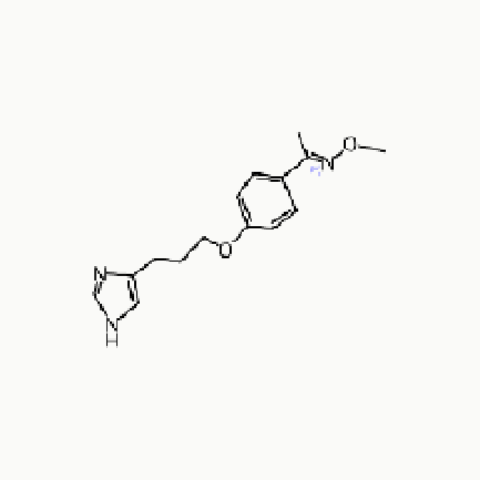 CO/N=C(\C)c1ccc(OCCCc2c[nH]cn2)cc1